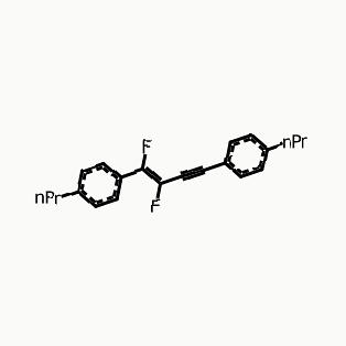 CCCc1ccc(C#CC(F)=C(F)c2ccc(CCC)cc2)cc1